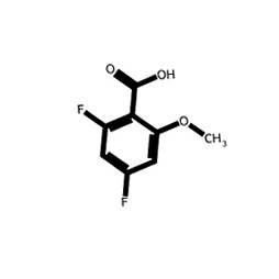 COc1cc(F)cc(F)c1C(=O)O